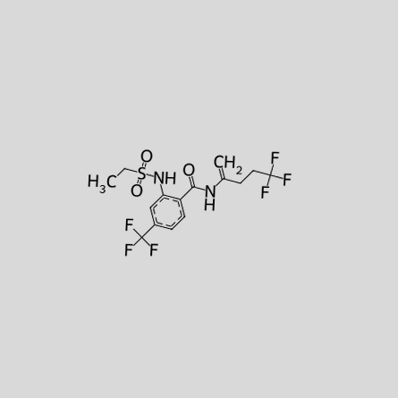 C=C(CCC(F)(F)F)NC(=O)c1ccc(C(F)(F)F)cc1NS(=O)(=O)CC